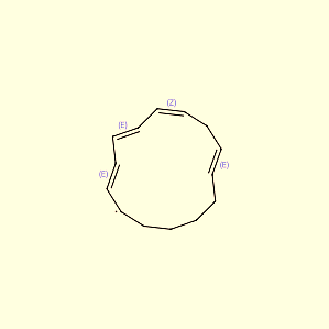 [CH]1/C=C/C=C/C=C\C/C=C/CCCC1